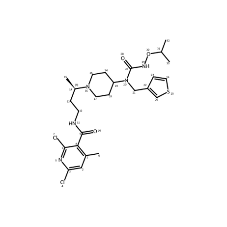 Cc1cc(Cl)nc(Cl)c1C(=O)NCC[C@@H](C)N1CCC(N(Cc2ccsc2)C(=O)NOC(C)C)CC1